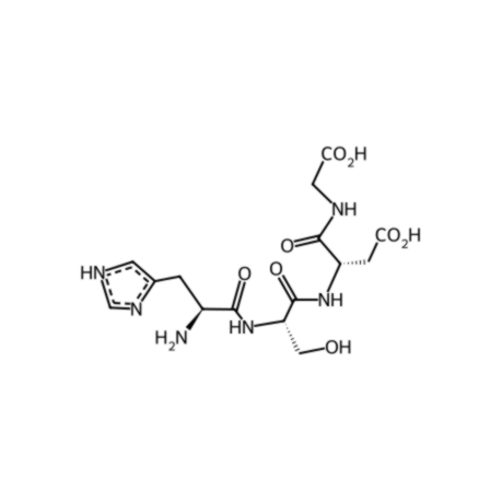 N[C@@H](Cc1c[nH]cn1)C(=O)N[C@@H](CO)C(=O)N[C@@H](CC(=O)O)C(=O)NCC(=O)O